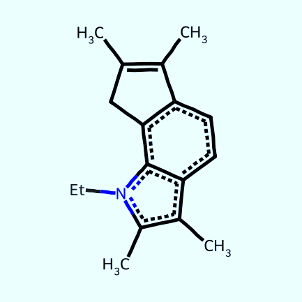 CCn1c(C)c(C)c2ccc3c(c21)CC(C)=C3C